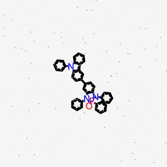 O=P1(c2ccccc2)N(c2ccccc2)c2ccc(-c3ccc4c(c3)c3ccccc3n4-c3ccccc3)cc2N1c1ccccc1